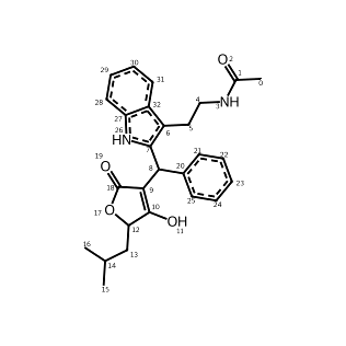 CC(=O)NCCc1c(C(C2=C(O)C(CC(C)C)OC2=O)c2ccccc2)[nH]c2ccccc12